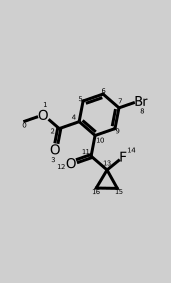 COC(=O)c1ccc(Br)cc1C(=O)C1(F)CC1